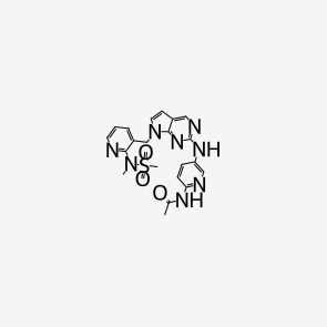 CC(=O)Nc1ccc(Nc2ncc3ccn(Cc4cccnc4N(C)S(C)(=O)=O)c3n2)cn1